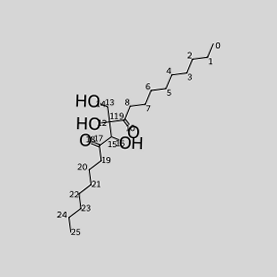 CCCCCCCCCC(=O)C(O)(CO)C(O)C(=O)CCCCCCC